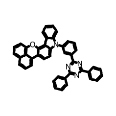 c1ccc(-c2nc(-c3ccccc3)nc(-c3cccc(-n4c5ccccc5c5c6c(ccc54)-c4cccc5cccc(c45)O6)c3)n2)cc1